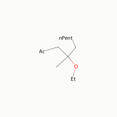 CCCCCCC(C)(CC(C)=O)OCC